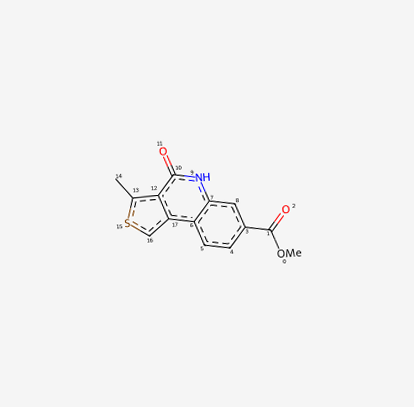 COC(=O)c1ccc2c(c1)[nH]c(=O)c1c(C)scc12